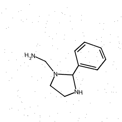 NCN1CCNC1c1ccccc1